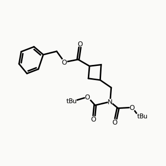 CC(C)(C)OC(=O)N(CC1CC(C(=O)OCc2ccccc2)C1)C(=O)OC(C)(C)C